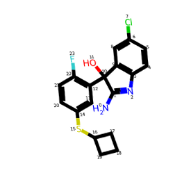 NC1=Nc2ccc(Cl)cc2C1(O)c1cc(SC2CCC2)ccc1F